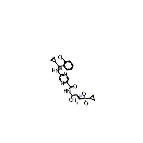 C[C@H](/C=C/S(=O)(=O)C1CC1)NC(=O)c1cnc(N[C@H](c2ccccc2Cl)C2CC2)cn1